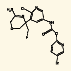 NC1=NC(CF)(c2cc(NC(=O)Oc3ccc(Br)cn3)cnc2Cl)COC1